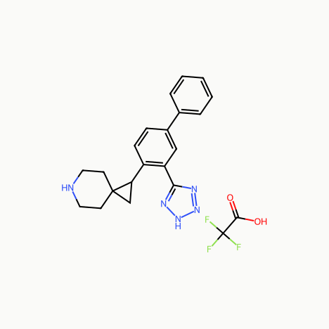 O=C(O)C(F)(F)F.c1ccc(-c2ccc(C3CC34CCNCC4)c(-c3nn[nH]n3)c2)cc1